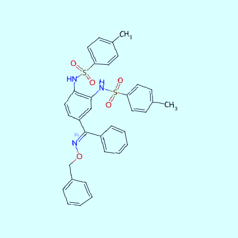 Cc1ccc(S(=O)(=O)Nc2ccc(/C(=N/OCc3ccccc3)c3ccccc3)cc2NS(=O)(=O)c2ccc(C)cc2)cc1